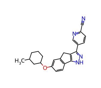 CC1CCCC(Oc2ccc3c(c2)Cc2c(-c4ccc(C#N)nc4)n[nH]c2-3)C1